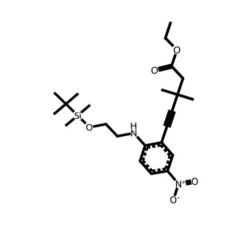 CCOC(=O)CC(C)(C)C#Cc1cc([N+](=O)[O-])ccc1NCCO[Si](C)(C)C(C)(C)C